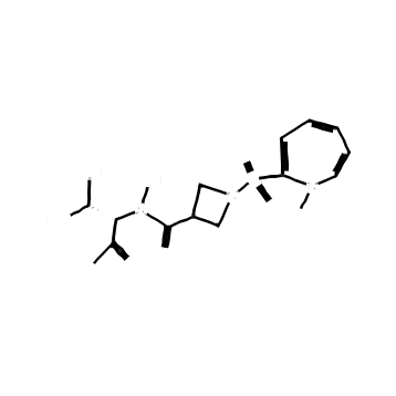 CC(C)[C@@H](C(=O)O)N(C)C(=O)C1CN(S(=O)(=O)C2=CC=CC=CN2C)C1